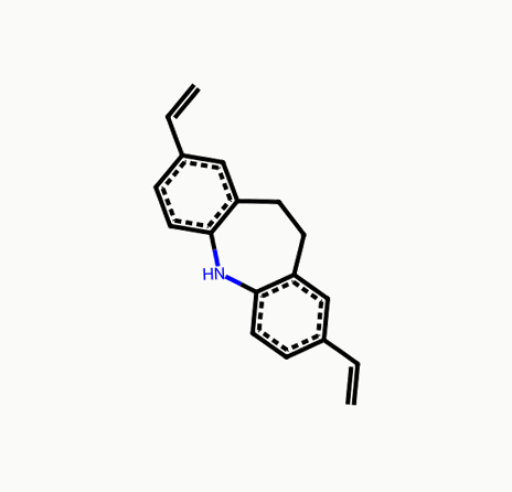 C=Cc1ccc2c(c1)CCc1cc(C=C)ccc1N2